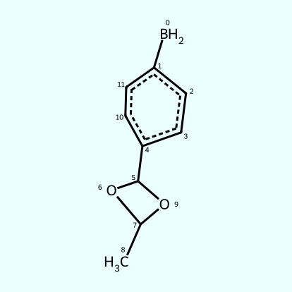 Bc1ccc(C2OC(C)O2)cc1